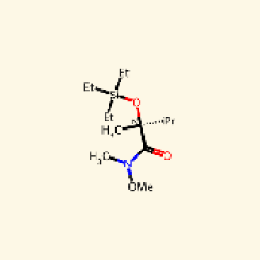 CC[Si](CC)(CC)O[C@](C)(C(=O)N(C)OC)C(C)C